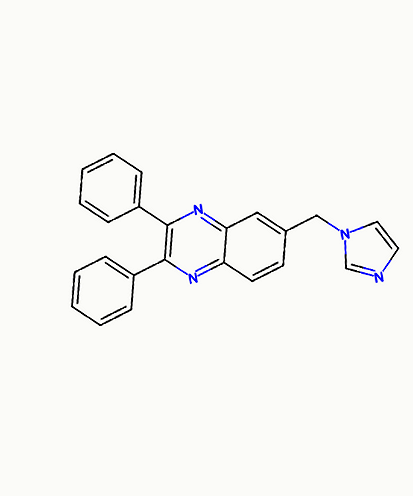 c1ccc(-c2nc3ccc(Cn4ccnc4)cc3nc2-c2ccccc2)cc1